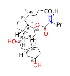 CC(C)NC(=O)O[C@H]1C[C@H]2[C@@H]([C@H](O)C[C@@H]3C[C@H](O)CC[C@@]32C)[C@@H]2CC[C@H]([C@H](C)CCC(=O)O)[C@@]12C